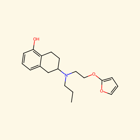 CCCN(CCOc1ccco1)C1CCc2c(O)cccc2C1